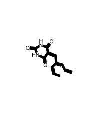 C=C/C=C(C=C1C(=O)NC(=O)NC1=O)\C=C/C